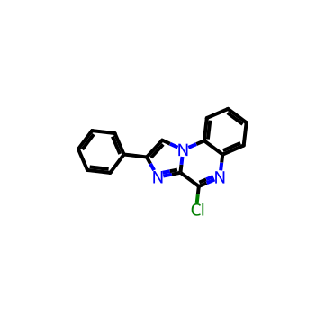 Clc1nc2ccccc2n2cc(-c3ccccc3)nc12